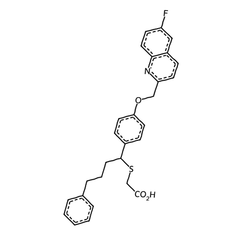 O=C(O)CSC(CCCc1ccccc1)c1ccc(OCc2ccc3cc(F)ccc3n2)cc1